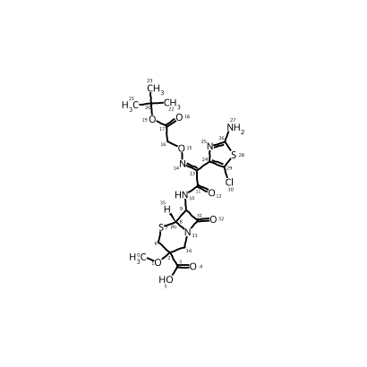 COC1(C(=O)O)CS[C@@H]2C(NC(=O)C(=NOCC(=O)OC(C)(C)C)c3nc(N)sc3Cl)C(=O)N2C1